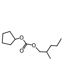 CCCC(C)COC(=O)OC1CCCC1